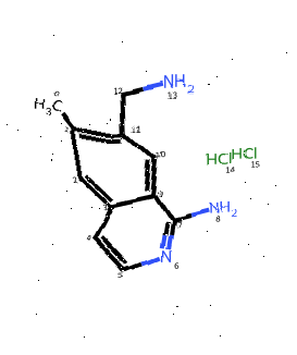 Cc1cc2ccnc(N)c2cc1CN.Cl.Cl